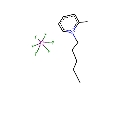 CCCCC[n+]1ccccc1C.F[P-](F)(F)(F)(F)F